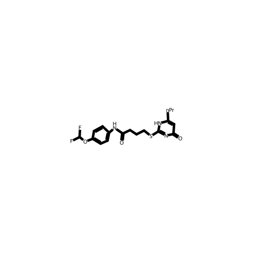 CCCc1cc(=O)nc(SCCCC(=O)Nc2ccc(OC(F)F)cc2)[nH]1